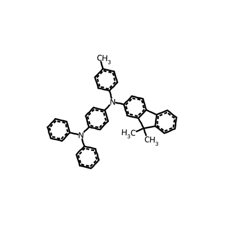 Cc1ccc(N(c2ccc(N(c3ccccc3)c3ccccc3)cc2)c2ccc3c(c2)C(C)(C)c2ccccc2-3)cc1